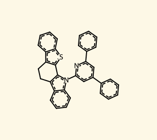 c1ccc(-c2cc(-c3ccccc3)nc(-n3c4c(c5ccccc53)CCc3c-4sc4ccccc34)c2)cc1